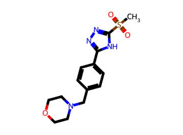 CS(=O)(=O)c1nnc(-c2ccc(CN3CCOCC3)cc2)[nH]1